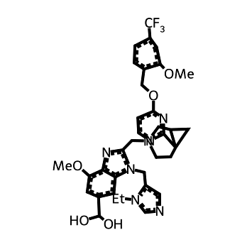 CCn1cncc1Cn1c(CN2CCC3(c4nccc(OCc5ccc(C(F)(F)F)cc5OC)n4)CC3C2)nc2c(OC)cc(C(O)O)cc21